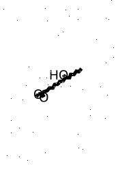 CCCCCCC(O)CCCCCCCCC(=O)OC